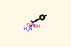 Cc1ccc(C#CC(C)N(O)C(N)=O)cc1